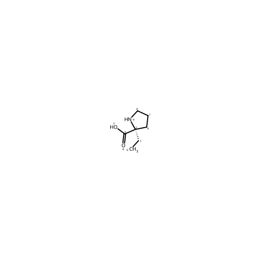 CC[C@@]1(C(=O)O)CCCN1